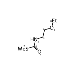 CCOCCNC(=O)SC